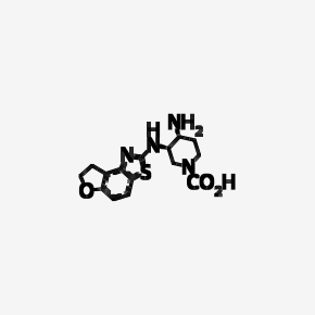 N[C@H]1CCN(C(=O)O)C[C@H]1Nc1nc2c3c(ccc2s1)OCC3